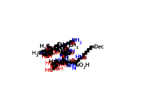 CC1=C(/C=C/C(C)=C/C=C/C(C)=C/C(N)=O)C(C)(C)CCC1.CCC1(c2ccncc2)CCC(=O)NC1=O.CCCCCCCCCCCCCCCCCC(=O)NCCCC[C@H](NC(=O)CC[C@@H](NC(=O)[C@H](C)NC(=O)[C@@H](C)O[C@H]1C(O)[C@@H](CO)O[C@@H](O)[C@@H]1NC(C)=O)C(N)=O)C(=O)O.Cc1cc(=O)c2c(O)cc(O)c([C@H]3CCN(C)C[C@H]3O)c2o1